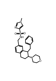 Cn1cnc(S(=O)(=O)NCc2ccc3c(c2)C(Cc2ccccc2)C(N2CCOCC2)CC3)c1